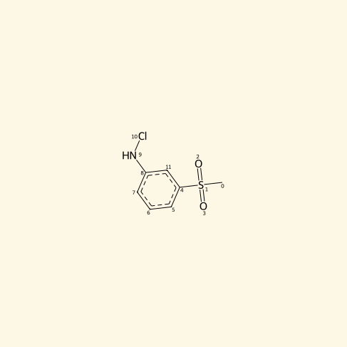 CS(=O)(=O)c1cccc(NCl)c1